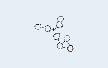 c1ccc(-c2ccc(N(c3ccc(-c4cccc(-c5ccccc5)c4-c4ccccc4-c4ccccc4)cc3)c3ccc4ccccc4c3)cc2)cc1